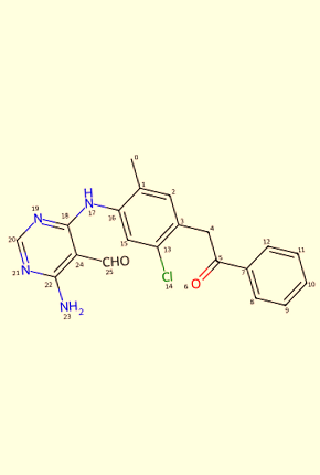 Cc1cc(CC(=O)c2ccccc2)c(Cl)cc1Nc1ncnc(N)c1C=O